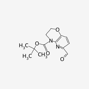 CC(C)(C)OC(=O)N1CCOc2ccc(C=O)nc21